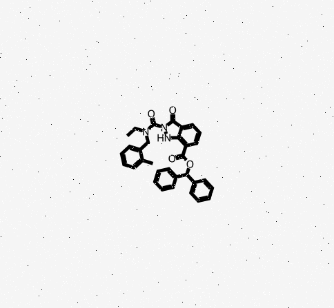 CCN(Cc1ccccc1C)C(=O)n1[nH]c2c(C(=O)OC(c3ccccc3)c3ccccc3)cccc2c1=O